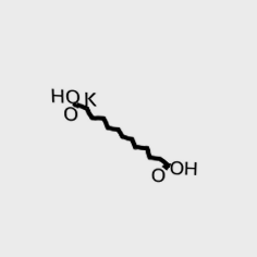 O=C(O)CCCCCCCCCC[CH]([K])C(=O)O